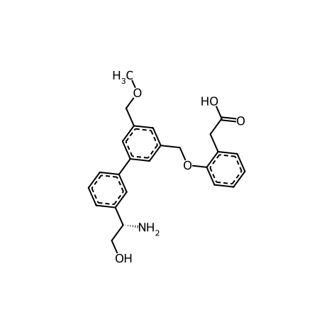 COCc1cc(COc2ccccc2CC(=O)O)cc(-c2cccc([C@H](N)CO)c2)c1